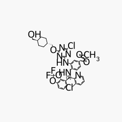 CS(=O)(=O)c1ccc(N[C@@H](c2cccc3c2OC(F)(F)O3)c2ncccc2Cl)c(Nc2nc(Cl)nc(OC[C@H]3CC[C@H](CO)CC3)n2)c1